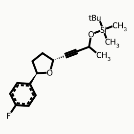 CC(C#C[C@H]1CC[C@H](c2ccc(F)cc2)O1)O[Si](C)(C)C(C)(C)C